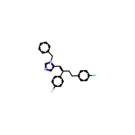 Fc1ccc(CC/C(=C/c2cncn2Cc2ccccc2)c2ccc(F)cc2)cc1